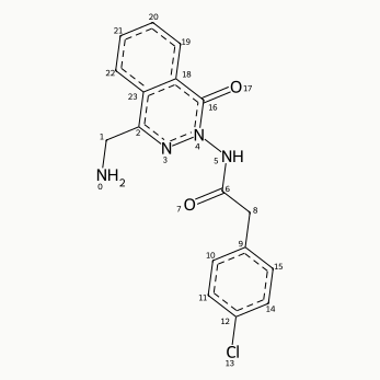 NCc1nn(NC(=O)Cc2ccc(Cl)cc2)c(=O)c2ccccc12